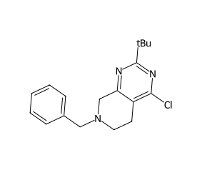 CC(C)(C)c1nc(Cl)c2c(n1)CN(Cc1ccccc1)CC2